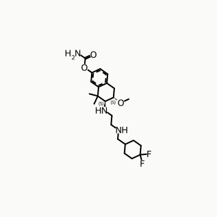 CO[C@H]1Cc2ccc(OC(N)=O)cc2C(C)(C)[C@@H]1NCCNCC1CCC(F)(F)CC1